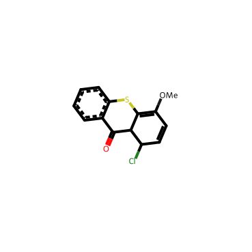 COC1=C2Sc3ccccc3C(=O)C2C(Cl)C=C1